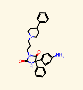 Nc1ccc(C2(c3ccccc3)NC(=O)N(CCCN3CCC(c4ccccc4)CC3)C2=O)cc1